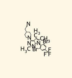 Cc1nc(N2CCC(CC#N)CC2)c2c(C)c(C)n(-c3c(Br)cc(C(F)(F)F)cc3Br)c2n1